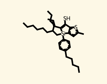 CC=CC1=C(S)c2sc(C)cc2[Si]1(CC(CCCC)CCCCCC)c1ccc(CCCCC)cc1